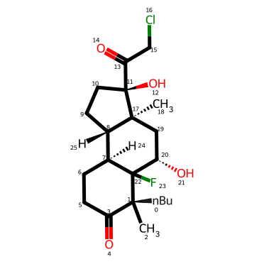 CCCC[C@@]1(C)C(=O)CC[C@H]2[C@@H]3CC[C@](O)(C(=O)CCl)[C@@]3(C)C[C@H](O)C21F